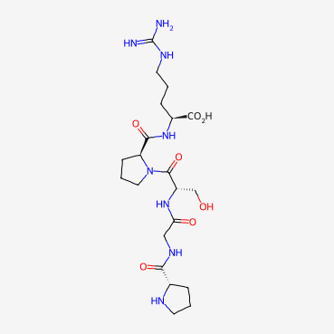 N=C(N)NCCC[C@H](NC(=O)[C@@H]1CCCN1C(=O)[C@H](CO)NC(=O)CNC(=O)[C@@H]1CCCN1)C(=O)O